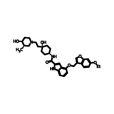 CCOc1ccc2c(COc3cccc4[nH]c(C(=O)N[C@H]5CC[C@](O)(CCN6CC[C@H](O)[C@@H](C)C6)CC5)cc34)coc2c1